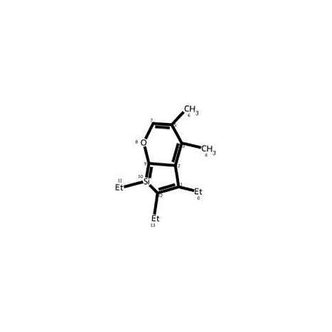 CCc1c2c(C)c(C)coc-2[si](CC)c1CC